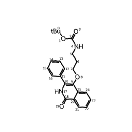 CC(C)(C)OC(=O)NCCCOc1c(-c2ccccc2)[nH]c(=O)c2ccccc12